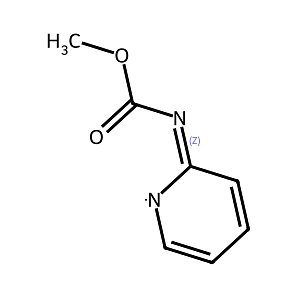 COC(=O)/N=C1/C=CC=C[N]1